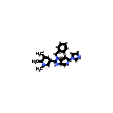 C=C1C(C)=CC(c2nc3cnc(-n4ccnc4)cc3n2Cc2ccccc2)=CN1C